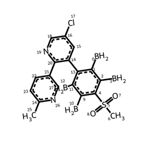 Bc1c(B)c(S(C)(=O)=O)c(B)c(B)c1-c1cc(Cl)cnc1-c1ccc(C)nc1